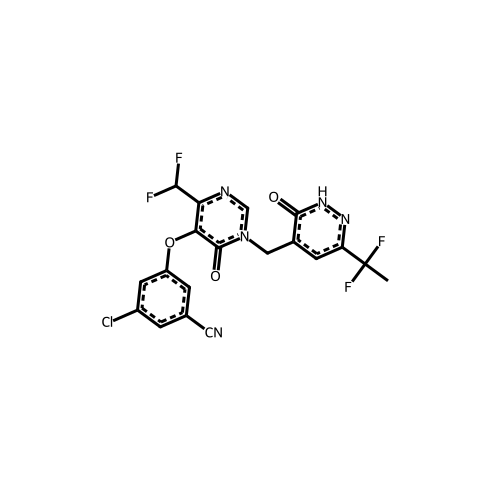 CC(F)(F)c1cc(Cn2cnc(C(F)F)c(Oc3cc(Cl)cc(C#N)c3)c2=O)c(=O)[nH]n1